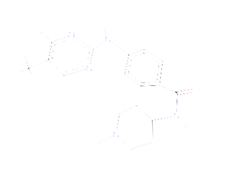 Cc1nc(Nc2ccc(C(=O)N(C)C3CCN(C)CC3)cc2)ncc1C(F)(F)F